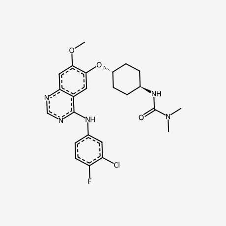 COc1cc2ncnc(Nc3ccc(F)c(Cl)c3)c2cc1O[C@H]1CC[C@H](NC(=O)N(C)C)CC1